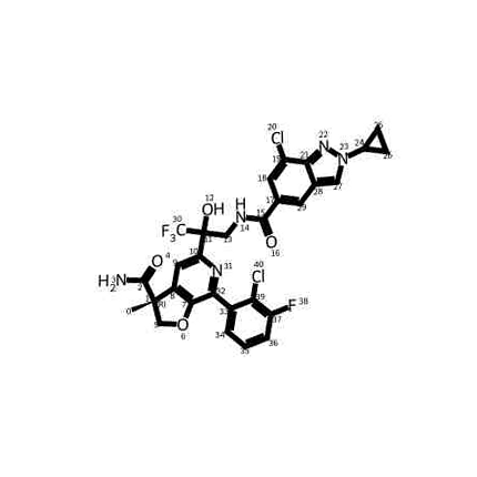 C[C@]1(C(N)=O)COc2c1cc(C(O)(CNC(=O)c1cc(Cl)c3nn(C4CC4)cc3c1)C(F)(F)F)nc2-c1cccc(F)c1Cl